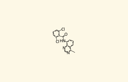 Cc1ncnc2c(NC(=O)c3c(Cl)cccc3Cl)cccc12